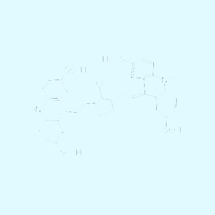 CN1c2ccc(S(=O)(=O)O)cc2C(=C/C=C2\CCC(/C=C/c3c4cc(S(=O)(=O)O)ccc4[n+](C)c4ccc(S(=O)(=O)O)cc34)=C2Cl)c2cc(S(=O)(=O)O)ccc21